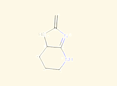 C=C1BC2CCCNC2=N1